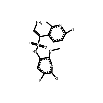 COc1nc(Cl)c(F)cc1NS(=O)(=O)/C(=C/N)c1ccc(Cl)nc1C